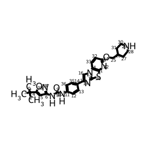 CC(C)(C)c1cc(NC(=O)Nc2ccc(-c3cn4c(n3)sc3nc(OCC5CCNCC5)ccc34)cc2)no1